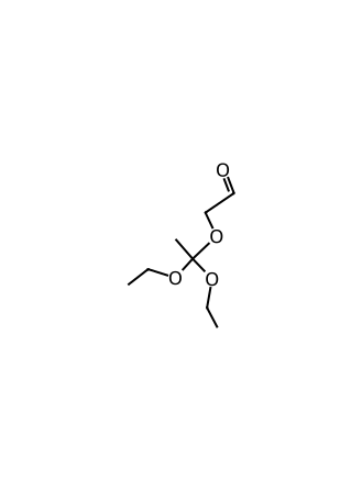 CCOC(C)(OCC)OCC=O